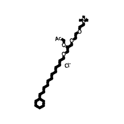 CC(=O)COC(COCCCCCCCCCCCCC1CCCCC1)COCCOCC[N+](C)(C)C.[Cl-]